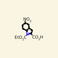 CCOC(=O)n1c(C(=O)O)cc2cc([N+](=O)[O-])ccc21